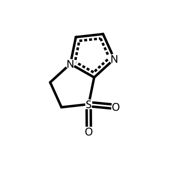 O=S1(=O)CCn2ccnc21